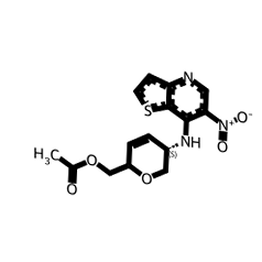 CC(=O)OCC1C=C[C@H](Nc2c([N+](=O)[O-])cnc3ccsc23)CO1